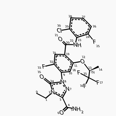 CCn1c(C(N)=O)nn(-c2cc(O[C@@H](C)C(F)(F)F)c(C(=O)Nc3c(F)cccc3Cl)cc2F)c1=O